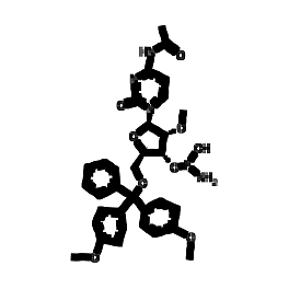 COc1ccc(C(OC[C@H]2O[C@@H](n3ccc(NC(C)=O)nc3=O)[C@H](OC)[C@@H]2OP(N)O)(c2ccccc2)c2ccc(OC)cc2)cc1